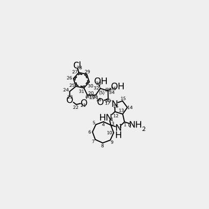 NC1NC2(CCCCCCC2)NC2C1CCN2[C@@H]1O[C@H]([C@@H]2OCOCc3cc(Cl)ccc32)[C@@H](O)[C@H]1O